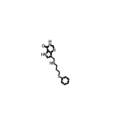 O=c1[nH]cnc2c(CNCCCSc3ccccc3)c[nH]c12